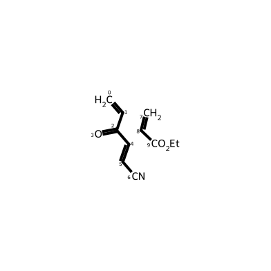 C=CC(=O)C=CC#N.C=CC(=O)OCC